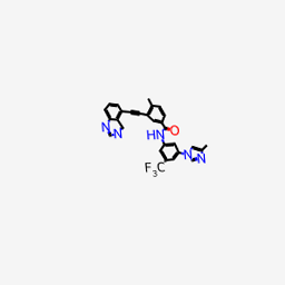 Cc1cn(-c2cc(NC(=O)c3ccc(C)c(C#Cc4cccc5ncncc45)c3)cc(C(F)(F)F)c2)cn1